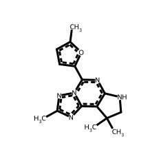 Cc1nc2c3c(nc(-c4ccc(C)o4)n2n1)NCC3(C)C